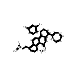 C[C@@H]1C=CC(CC[SH](=O)=O)=c2ccc3c(c21)C(=O)C=C1C(C2=CN=CC=CN2)=CC[C@@H](c2ccc(F)cc2F)C=31